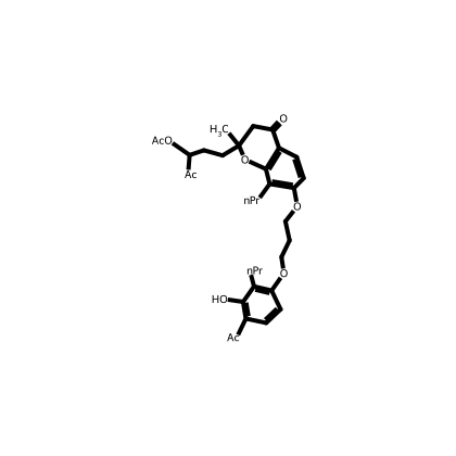 CCCc1c(OCCCOc2ccc3c(c2CCC)OC(C)(CCC(OC(C)=O)C(C)=O)CC3=O)ccc(C(C)=O)c1O